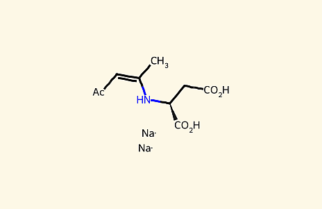 CC(=O)C=C(C)N[C@@H](CC(=O)O)C(=O)O.[Na].[Na]